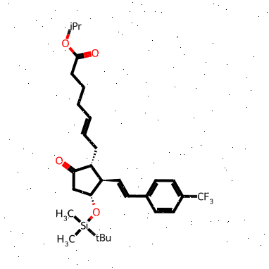 CC(C)OC(=O)CCC/C=C/C[C@H]1C(=O)C[C@@H](O[Si](C)(C)C(C)(C)C)[C@@H]1/C=C/c1ccc(C(F)(F)F)cc1